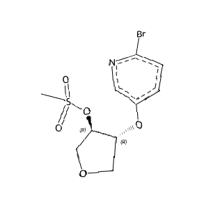 CS(=O)(=O)O[C@@H]1COC[C@H]1Oc1ccc(Br)nc1